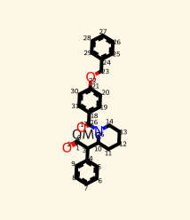 COC(=O)C(c1ccccc1)C1CCCCN1C(=O)c1ccc(OCc2ccccc2)cc1